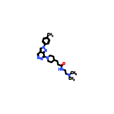 Cc1ccc(-n2cc3cnnc(N4CCC(CCC(=O)NCCN(C)C)CC4)c3n2)cc1